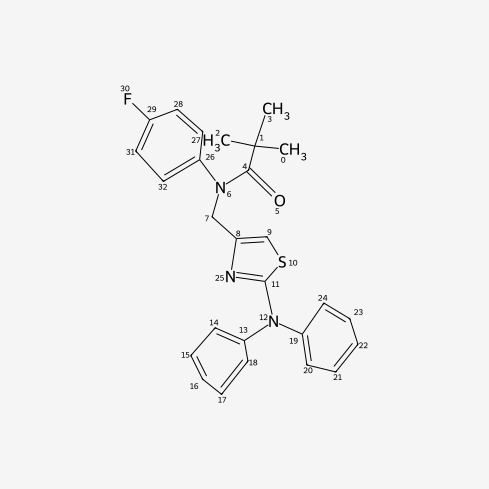 CC(C)(C)C(=O)N(Cc1csc(N(c2ccccc2)c2ccccc2)n1)c1ccc(F)cc1